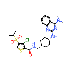 CC(C)S(=O)(=O)c1csc(C(=O)NC[C@H]2CC[C@@H](Nc3nc(N(C)C)c4ccccc4n3)CC2)c1Cl